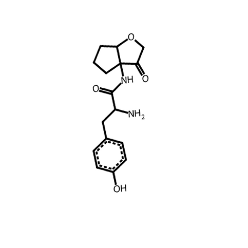 NC(Cc1ccc(O)cc1)C(=O)NC12CCCC1OCC2=O